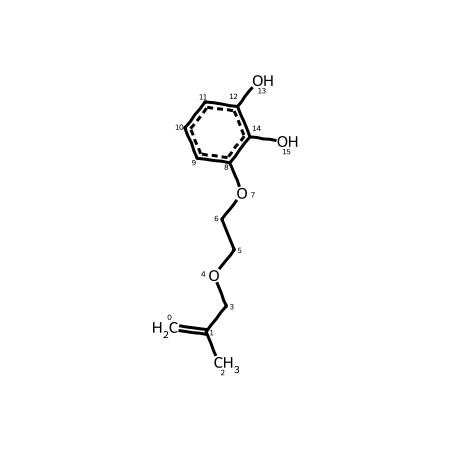 C=C(C)COCCOc1cccc(O)c1O